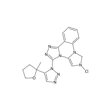 CC1(c2cnnn2-c2nnc3n2C2=CN(Cl)CN2c2ccccc2-3)CCCO1